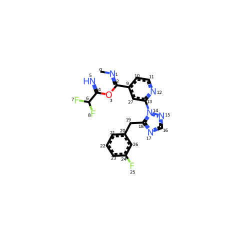 C/N=C(\OC(=N)C(F)F)c1ccnc(-n2ncnc2Cc2cccc(F)c2)c1